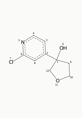 OC1(c2ccnc(Cl)c2)CCOC1